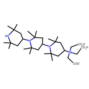 CC1(C)CC(N2C(C)(C)CC(N3C(C)(C)CC([N+](CC(=O)[O-])(CC(=O)O)CC(=O)O)CC3(C)C)CC2(C)C)CC(C)(C)N1